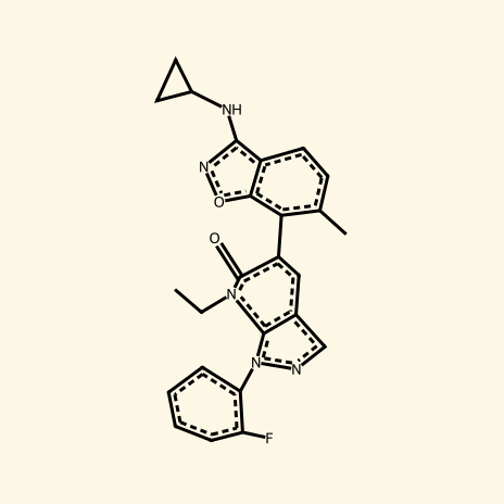 CCn1c(=O)c(-c2c(C)ccc3c(NC4CC4)noc23)cc2cnn(-c3ccccc3F)c21